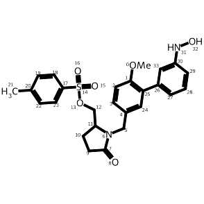 COc1ccc(CN2C(=O)CCC2COS(=O)(=O)c2ccc(C)cc2)cc1-c1cccc(NO)c1